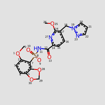 COc1ccc2c(c1S(=O)(=O)NC(=O)c1ccc(Cn3cccn3)c(OC)n1)OCO2